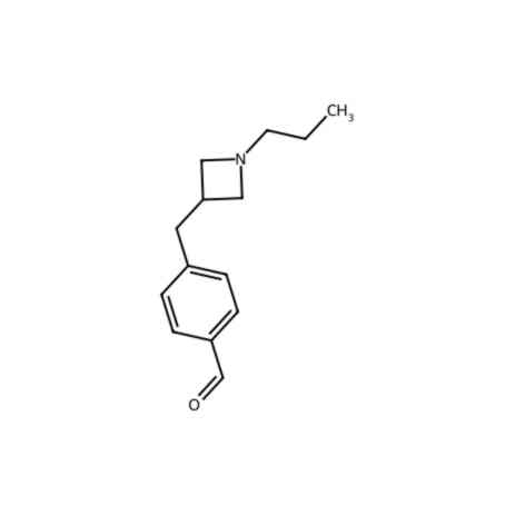 CCCN1CC(Cc2ccc(C=O)cc2)C1